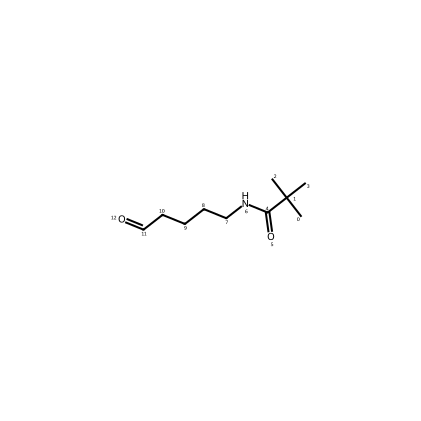 CC(C)(C)C(=O)NCCCCC=O